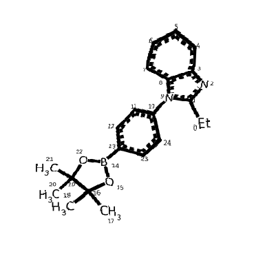 CCc1nc2ccccc2n1-c1ccc(B2OC(C)(C)C(C)(C)O2)cc1